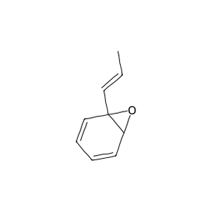 CC=CC12C=CC=CC1O2